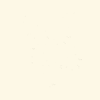 COC(=O)C1(Oc2ccccc2C)CCN(c2cnnc(-c3ccccc3O)c2)CC1.COC(=O)C1(Oc2ccccc2C)CCN(c2cnnc(Cl)c2)CC1